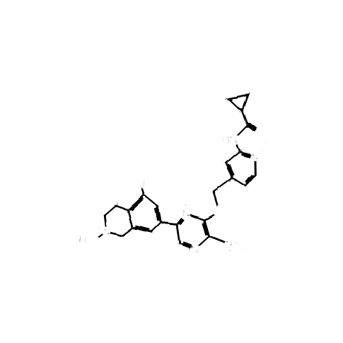 Cc1cc(-c2cnc(N)c(OCc3ccnc(NC(=O)C4CC4)c3)n2)cc2c1CCN(C)C2